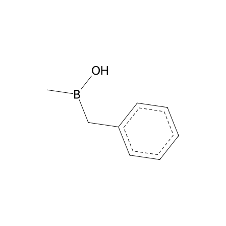 CB(O)Cc1ccccc1